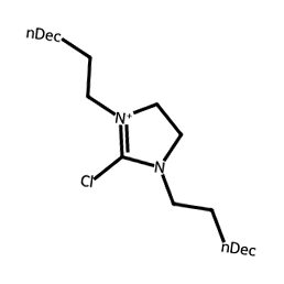 CCCCCCCCCCCCN1CC[N+](CCCCCCCCCCCC)=C1Cl